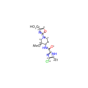 CCc1[nH]c(C(=O)N[C@@H]2CCN(c3nc(C(=O)O)co3)C[C@@H]2OC)nc1Cl